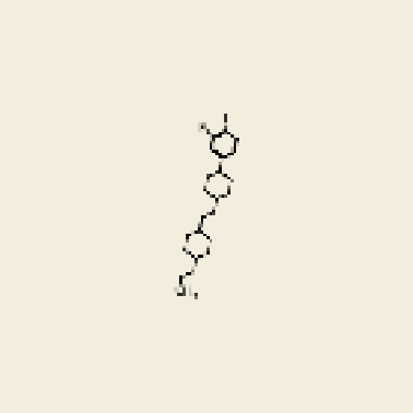 CCCC1CCC(CCC2CCC(c3ccc(F)c(F)c3)CC2)CC1